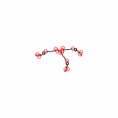 CCOC(=O)C=Cc1ccc(OCCCCCCCC(=O)OCC(COC(=O)CCCCCCCOc2ccc(C=CC(=O)OCC)cc2)OC(=O)CCCCCCCOc2ccc(C=CC(=O)OCC)cc2)cc1